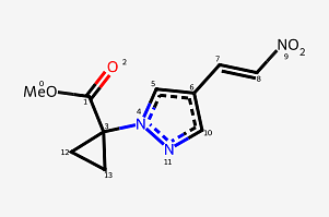 COC(=O)C1(n2cc(C=C[N+](=O)[O-])cn2)CC1